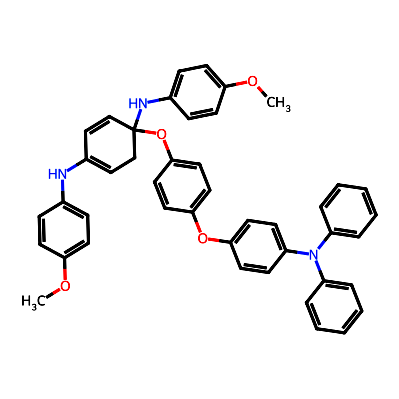 COc1ccc(NC2=CCC(Nc3ccc(OC)cc3)(Oc3ccc(Oc4ccc(N(c5ccccc5)c5ccccc5)cc4)cc3)C=C2)cc1